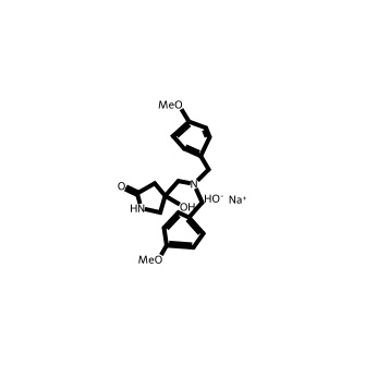 COc1ccc(CN(Cc2ccc(OC)cc2)CC2(O)CNC(=O)C2)cc1.[Na+].[OH-]